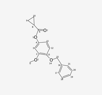 COc1cc(OC(=O)C2CC2)ccc1OCc1ccccc1